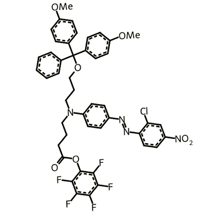 COc1ccc(C(OCCCN(CCCC(=O)Oc2c(F)c(F)c(F)c(F)c2F)c2ccc(N=Nc3ccc([N+](=O)[O-])cc3Cl)cc2)(c2ccccc2)c2ccc(OC)cc2)cc1